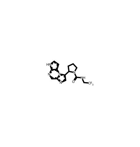 O=C(NCC(F)(F)F)N1CCCC1c1cnc2cnc3[nH]ccc3n12